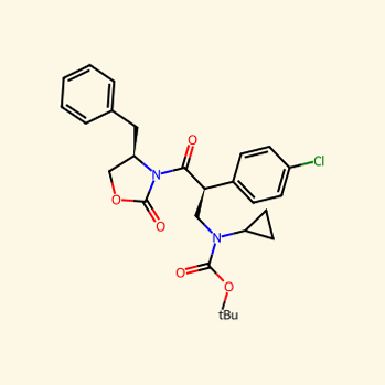 CC(C)(C)OC(=O)N(C[C@@H](C(=O)N1C(=O)OC[C@H]1Cc1ccccc1)c1ccc(Cl)cc1)C1CC1